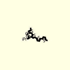 Cc1ccc(-c2ccc(-c3cc4c(s3)-c3sc(C)cc3S(=O)(=O)N4CC(C)C)s2)s1